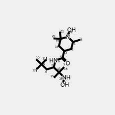 CC1CC(C(=O)NC(CC(C)(I)I)C(C)(C)NO)CC(C)(C)N1O